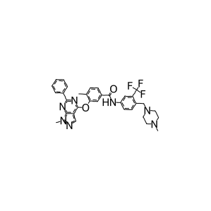 Cc1ccc(C(=O)Nc2ccc(CN3CCN(C)CC3)c(C(F)(F)F)c2)cc1Oc1nc(-c2ccccc2)nc2c1cnn2C